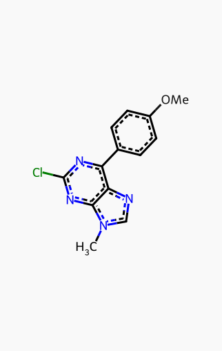 COc1ccc(-c2nc(Cl)nc3c2ncn3C)cc1